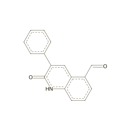 O=Cc1cccc2[nH]c(=O)c(-c3ccccc3)cc12